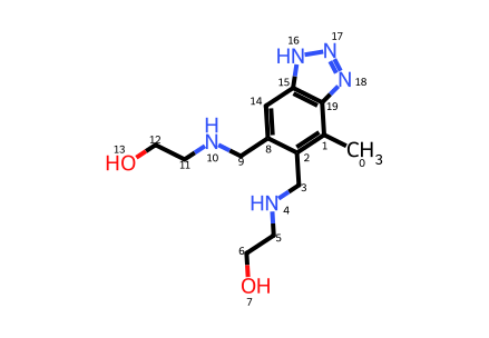 Cc1c(CNCCO)c(CNCCO)cc2[nH]nnc12